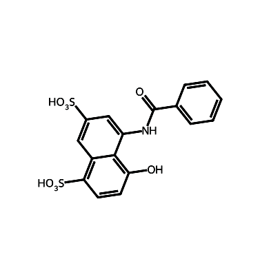 O=C(Nc1cc(S(=O)(=O)O)cc2c(S(=O)(=O)O)ccc(O)c12)c1ccccc1